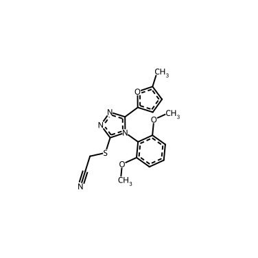 COc1cccc(OC)c1-n1c(SCC#N)nnc1-c1ccc(C)o1